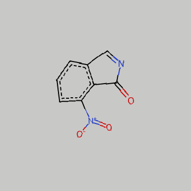 O=C1N=Cc2cccc([N+](=O)[O-])c21